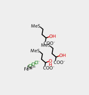 CSCCC(O)C(=O)[O-].CSCCC(O)C(=O)[O-].CSCCC(O)C(=O)[O-].[Cl-].[Cl-].[Cl-].[Fe+3].[Fe+3]